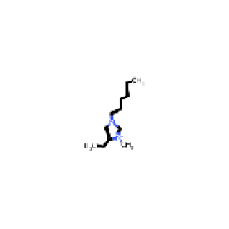 CCCCCCn1cc(CC)[n+](C)c1